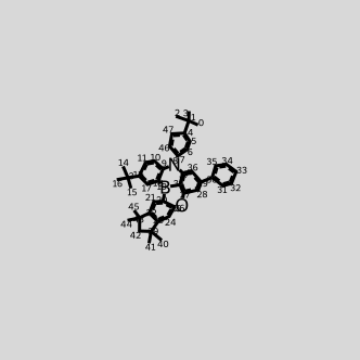 CC(C)(C)c1ccc(N2c3ccc(C(C)(C)C)cc3B3c4cc5c(cc4Oc4cc(-c6ccccc6)cc2c43)C(C)(C)CC5(C)C)cc1